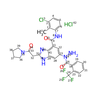 Cc1c(Cl)cccc1NC(=O)c1cc(N(N)C(=O)c2ccccc2C(F)(F)F)cc2[nH]c(CC(=O)N3CCCC3)nc12.Cl